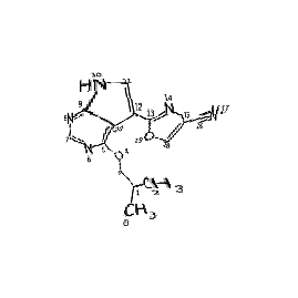 CC(C)COc1ncnc2[nH]cc(-c3nc(C#N)co3)c12